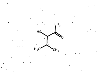 C[C](C)C(S)C(C)=O